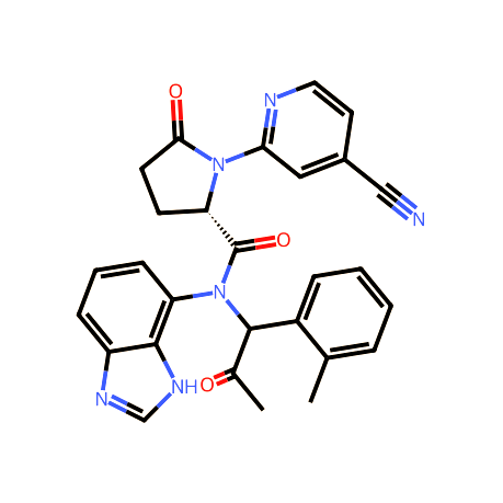 CC(=O)C(c1ccccc1C)N(C(=O)[C@@H]1CCC(=O)N1c1cc(C#N)ccn1)c1cccc2nc[nH]c12